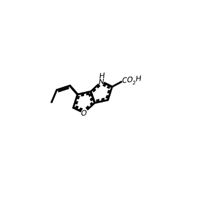 C/C=C\c1coc2cc(C(=O)O)[nH]c12